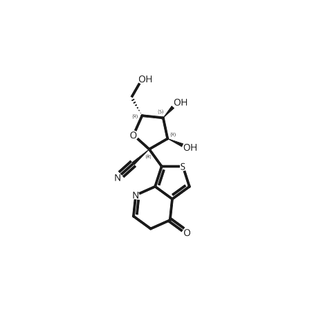 N#C[C@@]1(c2scc3c2N=CCC3=O)O[C@H](CO)[C@@H](O)[C@H]1O